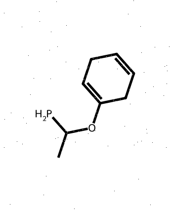 CC(P)OC1=CCC=CC1